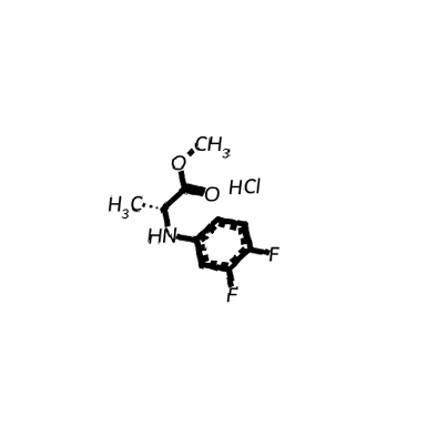 COC(=O)[C@@H](C)Nc1ccc(F)c(F)c1.Cl